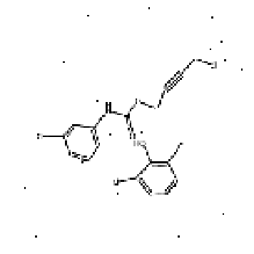 O=C(Nc1cccc(Cl)c1)OCC#CCCl.Oc1c(Cl)cccc1Cl